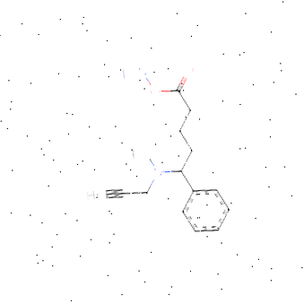 C#CCN(C)C(CCCC(=O)ON)c1ccccc1